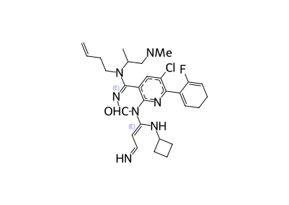 C=CCCN(/C(=N/C)c1cc(Cl)c(C2=CCCC=C2F)nc1N(C=O)/C(=C/C=N)NC1CCC1)C(C)CNC